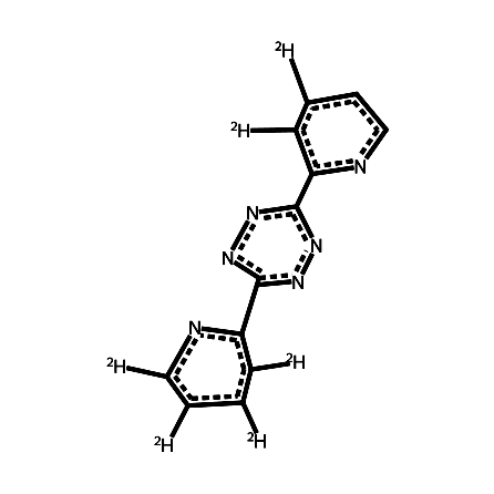 [2H]c1ccnc(-c2nnc(-c3nc([2H])c([2H])c([2H])c3[2H])nn2)c1[2H]